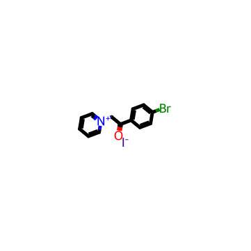 O=C(C[n+]1ccccc1)c1ccc(Br)cc1.[I-]